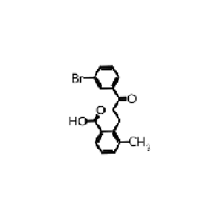 Cc1cccc(C(=O)O)c1CCC(=O)c1cccc(Br)c1